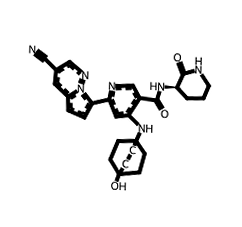 N#Cc1cnn2c(-c3cc(NC45CCC(O)(CC4)CC5)c(C(=O)N[C@@H]4CCCNC4=O)cn3)ccc2c1